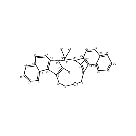 CC1=C2CCCCC3=C(C)[CH](c4ccc5ccccc5c43)[Zr]([CH3])([CH3])[CH]1c1ccc3ccccc3c12